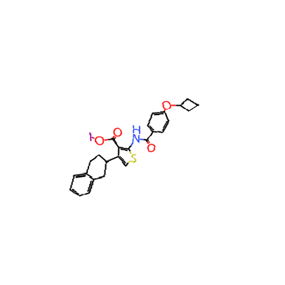 O=C(Nc1scc(C2CCc3ccccc3C2)c1C(=O)OI)c1ccc(OC2CCC2)cc1